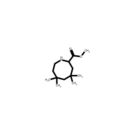 COC(=O)C1CC(C)(C)CC(C)(C)CCN1